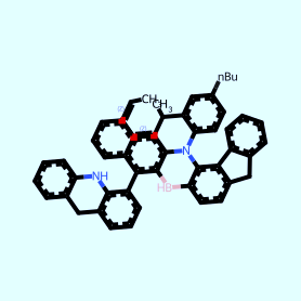 C/C=C\C=C/C(C)c1cc(CCCC)ccc1N1c2cc3ccccc3c(-c3cccc4c3Nc3ccccc3C4)c2Bc2ccc3c(c21)-c1ccccc1C3